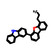 CCCc1cccc2c1oc1c(-c3ccc4[nH]c5ccccc5c4c3)cccc12